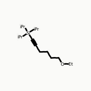 CCOCCCCC#C[Si](C(C)C)(C(C)C)C(C)C